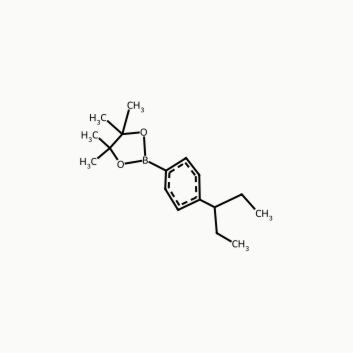 CCC(CC)c1ccc(B2OC(C)(C)C(C)(C)O2)cc1